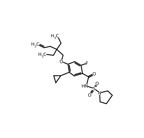 C=CCC(CC)(CC)COc1cc(F)c(C(=O)NS(=O)(=O)N2CCCC2)cc1C1CC1